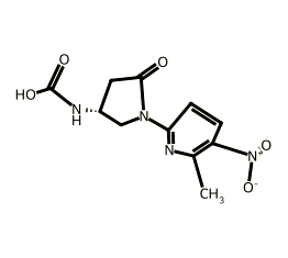 Cc1nc(N2C[C@H](NC(=O)O)CC2=O)ccc1[N+](=O)[O-]